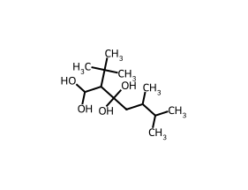 CC(C)C(C)CC(O)(O)C(C(O)O)C(C)(C)C